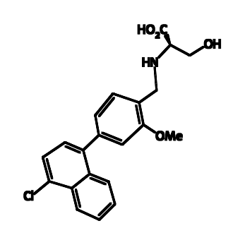 COc1cc(-c2ccc(Cl)c3ccccc23)ccc1CN[C@H](CO)C(=O)O